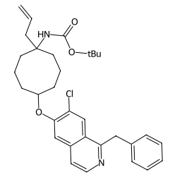 C=CCC1(NC(=O)OC(C)(C)C)CCCC(Oc2cc3ccnc(Cc4ccccc4)c3cc2Cl)CCC1